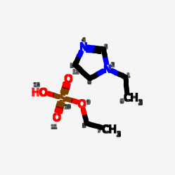 CCN1C=NCC1.CCOS(=O)(=O)O